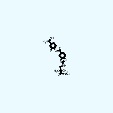 COC(=O)C(C)(C)CNc1nc2ccc(C(=O)Oc3ccc(C(=N)N)cc3F)cc2s1